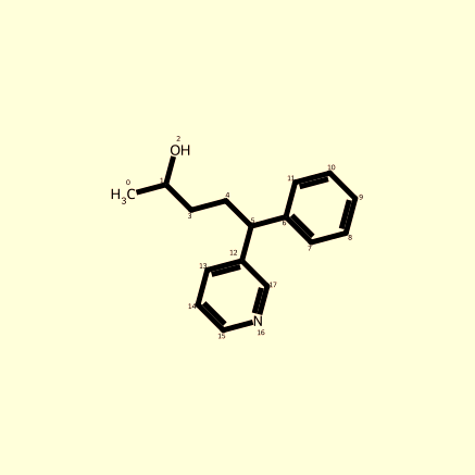 CC(O)CCC(c1ccccc1)c1cccnc1